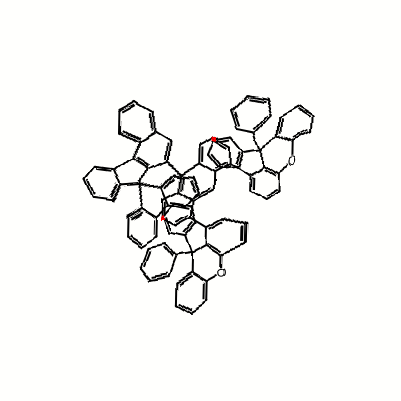 c1ccc(C2(c3ccccc3)c3ccccc3Oc3cccc(-c4cccc5c(-c6cc7ccccc7c7c6C6(c8ccccc8-c8ccccc86)c6ccccc6-7)c6cccc(-c7cccc8c7C(c7ccccc7)(c7ccccc7)c7ccccc7O8)c6cc45)c32)cc1